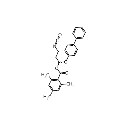 Cc1cc(C)c(C(=O)OP(CCN=C=O)Oc2ccc(-c3ccccc3)cc2)c(C)c1